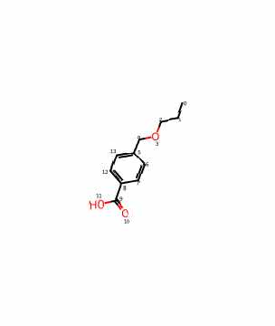 CCCOCc1ccc(C(=O)O)cc1